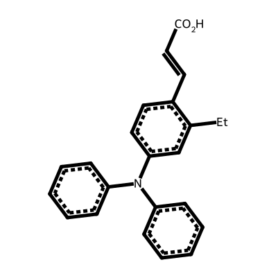 CCc1cc(N(c2ccccc2)c2ccccc2)ccc1C=CC(=O)O